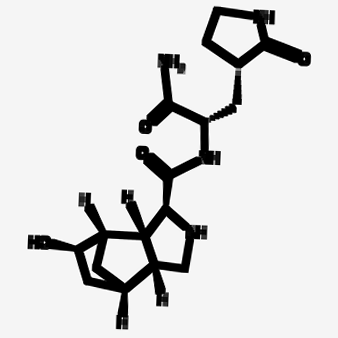 NC(=O)[C@H](C[C@@H]1CCNC1=O)NC(=O)[C@H]1NC[C@@H]2[C@H]3C[C@@H]([C@@H]21)[C@H](O)C3